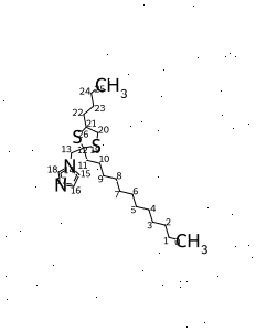 CCCCCCCCCCCCC1(Cn2ccnc2)SCC(CCCC)S1